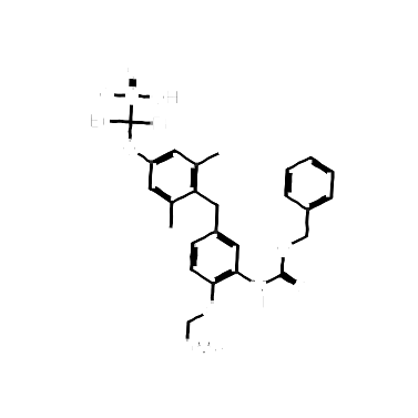 CCC(CC)(Oc1cc(C)c(Cc2ccc(OCOC)c(NC(=O)OCc3ccccc3)c2)c(C)c1)P(=O)(O)O